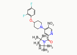 BC(B)(B)N(C(=O)c1cc(N2CCC(Oc3ccc(F)cc3F)CC2)c([N+](=O)[O-])cn1)C(B)(B)B